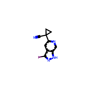 N#CC1(c2cc3c(I)n[nH]c3cn2)CC1